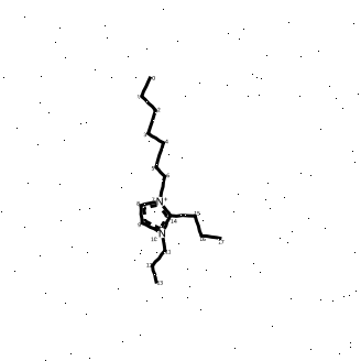 CCCCCCC[n+]1ccn(CCC)c1CCC